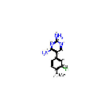 COc1ccc(-c2cnc(N)nc2N)cc1Cl